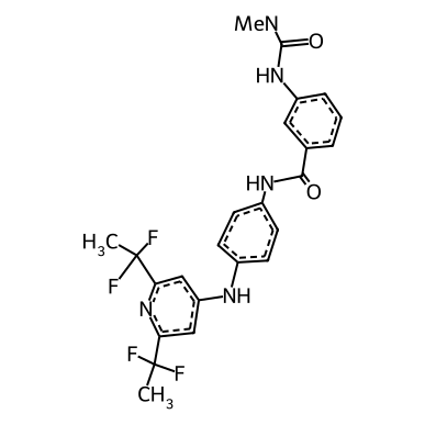 CNC(=O)Nc1cccc(C(=O)Nc2ccc(Nc3cc(C(C)(F)F)nc(C(C)(F)F)c3)cc2)c1